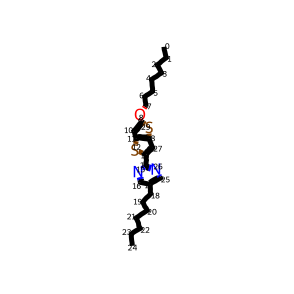 CCCCCCCCOc1cc2sc(-c3ncc(CCCCCCC)cn3)cc2s1